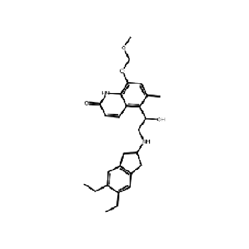 CCc1cc2c(cc1CC)CC(NCC(O)c1c(C)cc(OCOC)c3[nH]c(=O)ccc13)C2